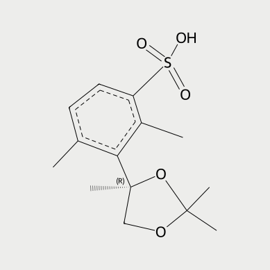 Cc1ccc(S(=O)(=O)O)c(C)c1[C@]1(C)COC(C)(C)O1